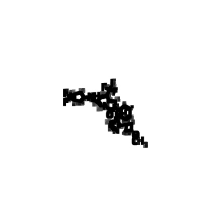 CO[C@H]1C[C@](c2cccc(-n3cc4c(C(F)(F)F)cc(CNC5CC6C(C5)C6(F)F)cn4c3=O)c2)(c2nncn2C)C1